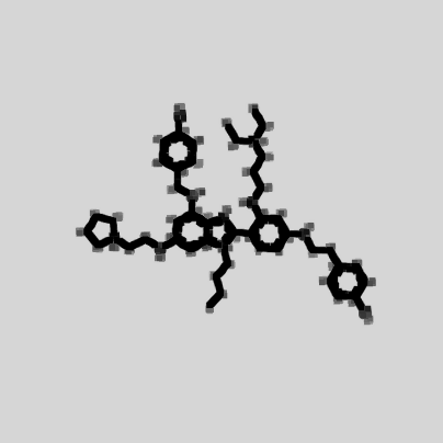 CCCCn1c(-c2ccc(OCCc3ccc(Cl)cc3)cc2OCCCN(CC)CC)nc2c(OCc3ccc(Cl)cc3)cc(OCCN3CCCC3)cc21